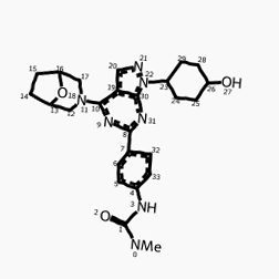 CNC(=O)Nc1ccc(-c2nc(N3CC4CCC(C3)O4)c3cnn(C4CCC(O)CC4)c3n2)cc1